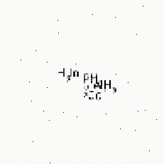 P.[AlH3].[Cd].[InH3]